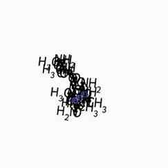 CCn1nc(C)cc1C(=O)/N=c1\[nH]c2cc(C(N)=O)cc(OC)c2n1C/C=C/Cn1/c(=N/C(=O)c2cc(C)nn2CC)[nH]c2cc(C(N)=O)cc(OCCCN3CCN(C(=O)OCc4ccc(NC(=O)[C@@H](NC(=O)[C@@H]5CCCN5C(=O)[C@H](C)N)C(C)C)cc4)CC3)c21